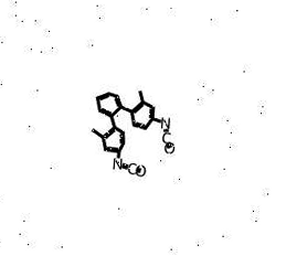 Cc1cc(N=C=O)ccc1-c1ccccc1-c1ccc(N=C=O)cc1C